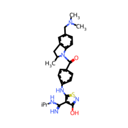 CC(C)NC(=N)c1c(O)nsc1Nc1ccc(C(=O)N2c3ccc(CN(C)C)cc3CC2C)cc1